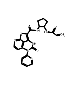 C=CC(=O)NC1CCCC1NC(=O)c1sc2nccc3c2c1NC(=O)N3c1ccccn1